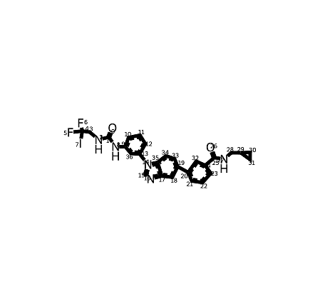 O=C(NCC(F)(F)I)Nc1cccc(-n2cnc3cc(-c4cccc(C(=O)NCC5CC5)c4)ccc32)c1